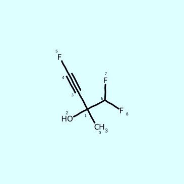 CC(O)(C#CF)C(F)F